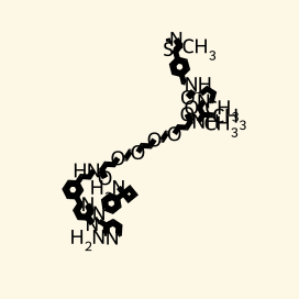 Cc1ncsc1-c1ccc(CNC(=O)[C@@H]2CCCN2C(=O)C(NC(=O)CCOCCOCCOCCOCCC(=O)NCCc2cccc(-c3ccc4nc(-c5cccnc5N)n(-c5ccc(C6(N)CCC6)cc5)c4n3)c2)C(C)(C)C)cc1